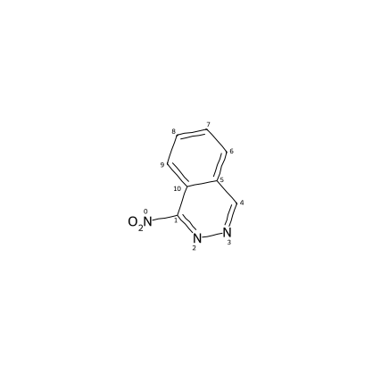 O=[N+]([O-])c1nncc2ccccc12